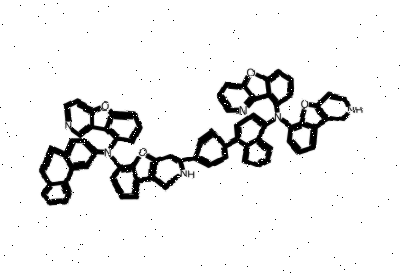 C1=Cc2oc3c(N(c4ccc(-c5ccc(C6=Cc7oc8c(N(c9ccc%10ccc%11ccccc%11c%10c9)c9cccc%10oc%11ccncc%11c9%10)cccc8c7CN6)cc5)c5ccccc45)c4cccc5oc6cccnc6c45)cccc3c2CN1